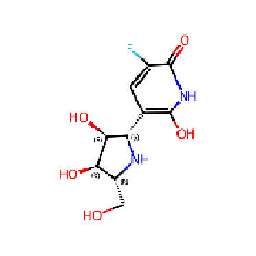 O=c1[nH]c(O)c([C@@H]2N[C@H](CO)[C@@H](O)[C@H]2O)cc1F